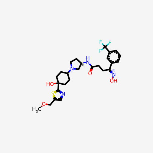 COCc1cnc(C2(O)CCC(N3CC[C@@H](NC(=O)CC/C(=N\O)c4cccc(C(F)(F)F)c4)C3)CC2)s1